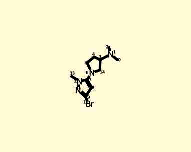 CN(C)C1CCN(c2cc(Br)nn2C)C1